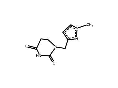 Cn1ccc(CN2CCC(=O)NC2=O)n1